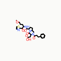 COCCCC(NC(=O)C1CCC2CN(C(=O)CCc3ccccc3)C(CC(=O)O)C(=O)N21)C(=O)c1nccs1